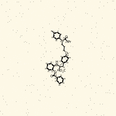 Cc1ccc(N(CCCOc2ccc(CC(Nc3ccccc3OC(=O)c3ccccc3)C(=O)O)cc2)C(=O)C(C)C)cc1